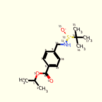 CC(C)OC(=O)c1ccc(CN[S@+]([O-])C(C)(C)C)cc1